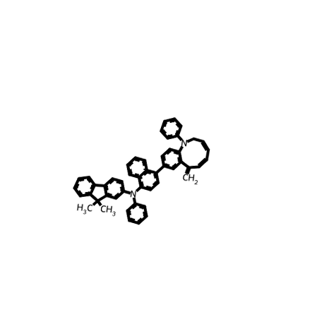 C=C1/C=C\C=C/CN(c2ccccc2)c2ccc(-c3ccc(N(c4ccccc4)c4ccc5c(c4)C(C)(C)c4ccccc4-5)c4ccccc34)cc21